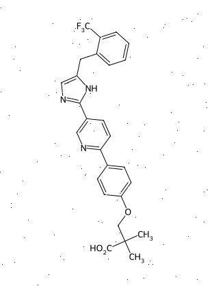 CC(C)(COc1ccc(-c2ccc(-c3ncc(Cc4ccccc4C(F)(F)F)[nH]3)cn2)cc1)C(=O)O